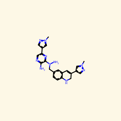 Cn1cc(C2=Cc3cc(CN(N)c4nc(-c5cnn(C)c5)cnc4N)ccc3NC2)cn1